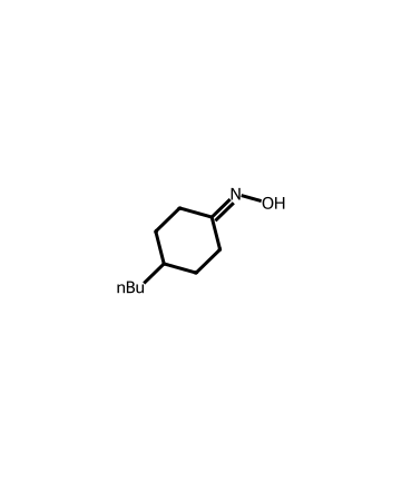 CCCCC1CCC(=NO)CC1